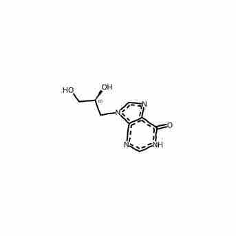 O=c1[nH]cnc2c1ncn2C[C@H](O)CO